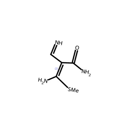 CS/C(N)=C(/C=N)C(N)=O